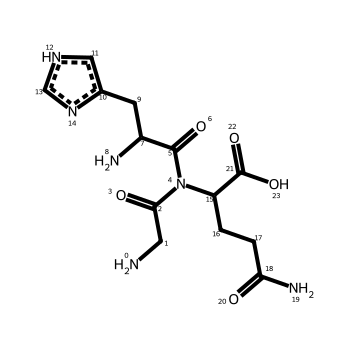 NCC(=O)N(C(=O)C(N)Cc1c[nH]cn1)C(CCC(N)=O)C(=O)O